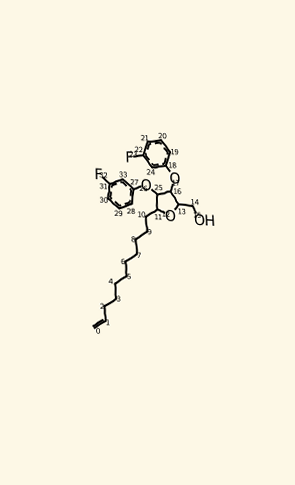 C=CCCCCCCCCCC1OC(CO)C(Oc2cccc(F)c2)C1Oc1cccc(F)c1